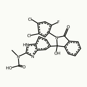 CN(C(=O)O)c1nc2cc(C3(O)c4ccccc4C(=O)N3c3cc(Cl)c(Cl)cc3F)ccc2[nH]1